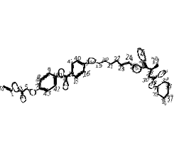 C=COC(=O)COc1ccc(OC(=O)c2ccc(OCCCCCCOC(=O)C(=C)CC(=O)OC3CCCCC3)cc2)cc1